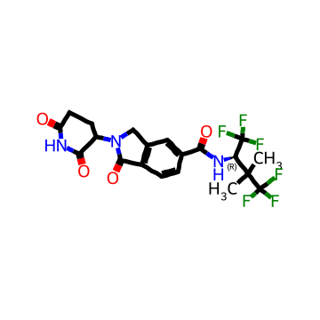 CC(C)([C@@H](NC(=O)c1ccc2c(c1)CN(C1CCC(=O)NC1=O)C2=O)C(F)(F)F)C(F)(F)F